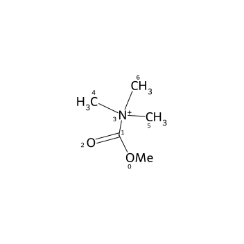 COC(=O)[N+](C)(C)C